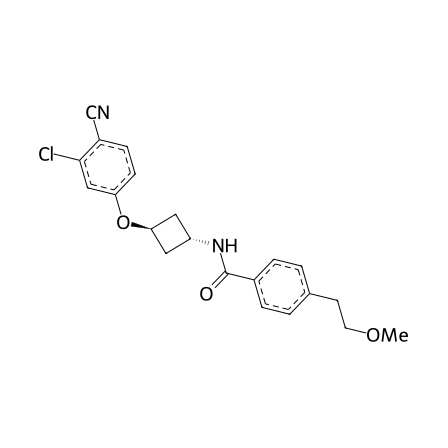 COCCc1ccc(C(=O)N[C@H]2C[C@H](Oc3ccc(C#N)c(Cl)c3)C2)cc1